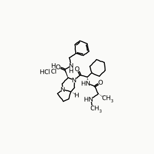 CN[C@@H](C)C(=O)N[C@H](C(=O)N1C[C@H]2CCCN2C[C@H]1C(=O)NCc1ccccc1)C1CCCCC1.Cl.Cl